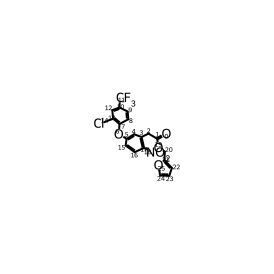 O=C(Cc1cc(Oc2ccc(C(F)(F)F)cc2Cl)ccc1[N+](=O)[O-])OCc1ccco1